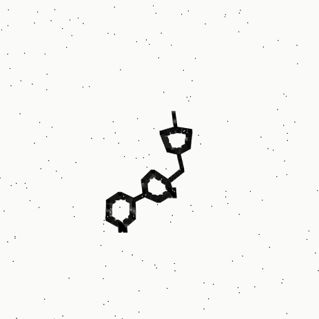 Cc1ccc(Cc2ccc(-c3cccnc3)cn2)cc1